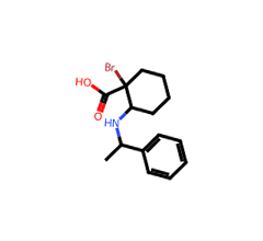 CC(NC1CCCCC1(Br)C(=O)O)c1ccccc1